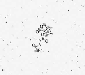 CCCC(=O)CCC(=O)OC1C2CC3C(=O)OC1C3C2